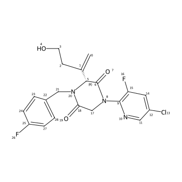 C=C(CCO)[C@@H]1C(=O)N(c2ncc(Cl)cc2F)CC(=O)N1Cc1ccc(F)cc1